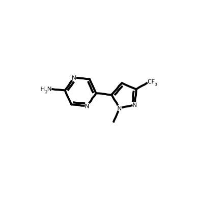 Cn1nc(C(F)(F)F)cc1-c1cnc(N)cn1